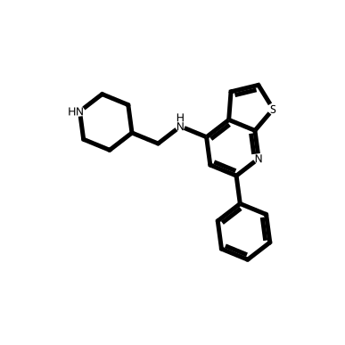 c1ccc(-c2cc(NCC3CCNCC3)c3ccsc3n2)cc1